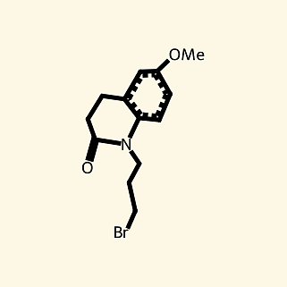 COc1ccc2c(c1)CCC(=O)N2CCCBr